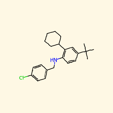 CC(C)(C)c1ccc(NCc2ccc(Cl)cc2)c(C2CCCCC2)c1